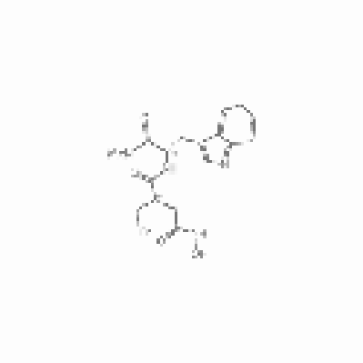 CNC(=O)[C@H](CC1=CN=C2C=CCC=C12)NC(=O)[C@@H](CC(=O)NO)CC(C)C